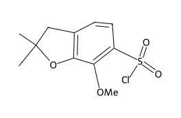 COc1c(S(=O)(=O)Cl)ccc2c1OC(C)(C)C2